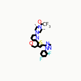 C[C@@H]1CN(c2ccc3c(n2)-c2sc(-c4ncnn4-c4ccc(F)cc4F)cc2CCO3)C[C@H](C)N1C(=O)C(F)(F)F